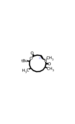 CC1CCCCC(C)C(=O)N(C)/C=C/CC(=O)OC(C(C)(C)C)C1